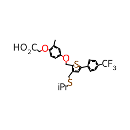 Cc1cc(OCc2sc(-c3ccc(C(F)(F)F)cc3)cc2CSC(C)C)ccc1OCC(=O)O